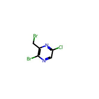 Clc1cnc(Br)c(CBr)n1